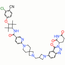 CC1(C)C(NC(=O)c2ccc(N3CCC4(CC3)CN(CC3CN(c5ccc6nnn(C7CCC(=O)NC7=O)c(=O)c6c5)C3)C4)nc2)C(C)(C)C1Oc1ccc(C#N)c(Cl)c1